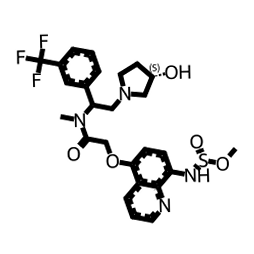 CO[SH](=O)=Nc1ccc(OCC(=O)N(C)C(CN2CC[C@H](O)C2)c2cccc(C(F)(F)F)c2)c2cccnc12